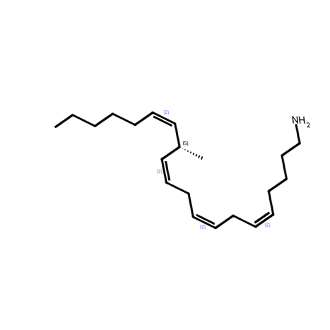 CCCCC/C=C\[C@H](C)/C=C\C/C=C\C/C=C\CCCCN